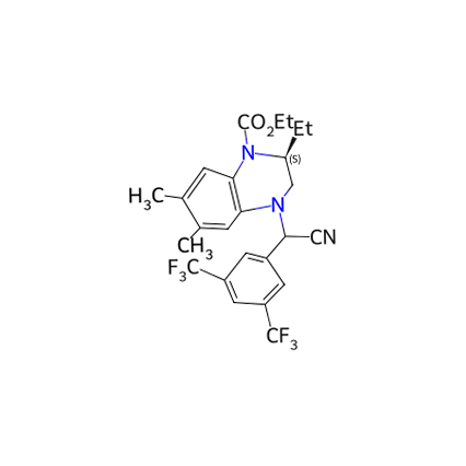 CCOC(=O)N1c2cc(C)c(C)cc2N(C(C#N)c2cc(C(F)(F)F)cc(C(F)(F)F)c2)C[C@@H]1CC